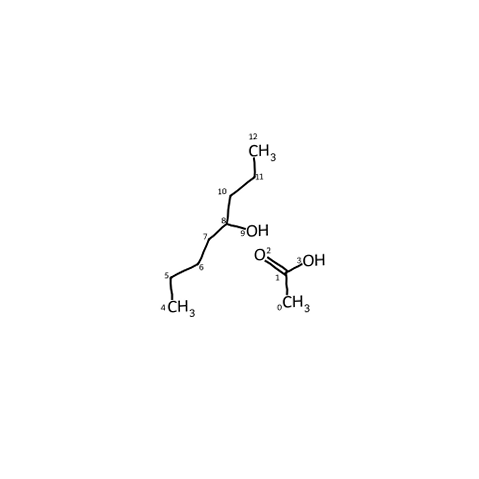 CC(=O)O.CCCCC(O)CCC